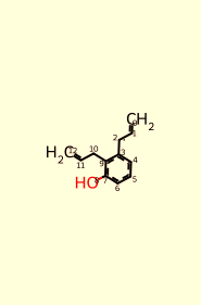 C=C[CH]c1cccc(O)c1CC=C